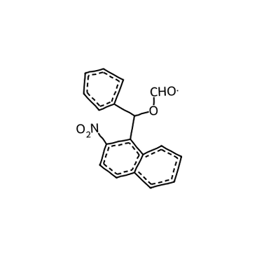 O=[C]OC(c1ccccc1)c1c([N+](=O)[O-])ccc2ccccc12